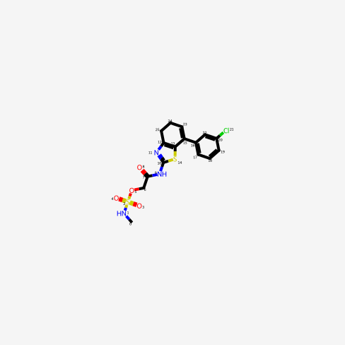 CNS(=O)(=O)OCC(=O)Nc1nc2c(s1)C(c1cccc(Cl)c1)=CCC2